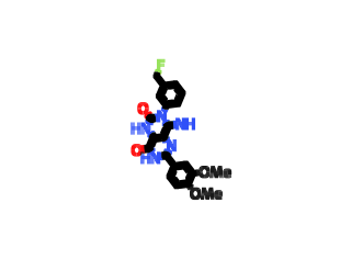 COc1ccc(-c2nc3c(=N)n(-c4cccc(CF)c4)c(=O)[nH]c3c(=O)[nH]2)cc1OC